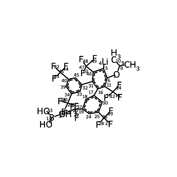 OB(O)O.[Li][c]1c(OC(C)C)c(C(F)(F)F)c(-c2cc(C(F)(F)F)cc(C(F)(F)F)c2)c(-c2cc(C(F)(F)F)cc(C(F)(F)F)c2)c1C(F)(F)F